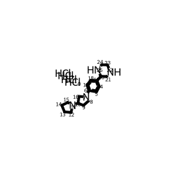 Cl.Cl.Cl.Cl.c1cc(N2CCC(N3CCCC3)C2)ccc1C1CNCCN1